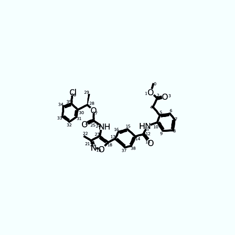 COC(=O)Cc1ccccc1NC(=O)c1ccc(-c2onc(C)c2NC(=O)O[C@H](C)c2ccccc2Cl)cc1